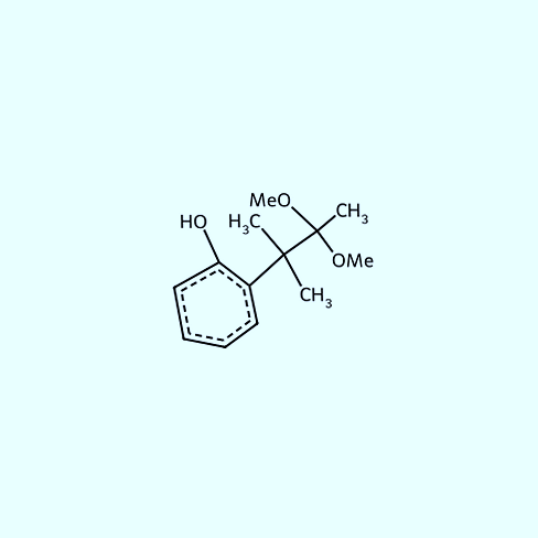 COC(C)(OC)C(C)(C)c1ccccc1O